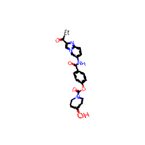 CCC(=O)c1cn2cc(NC(=O)c3ccc(OC(=O)N4CCC(O)CC4)cc3)ccc2n1